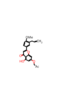 C=CCc1cc(-c2cc(=O)c3c(O)cc(OCC(C)=O)cc3o2)ccc1OC